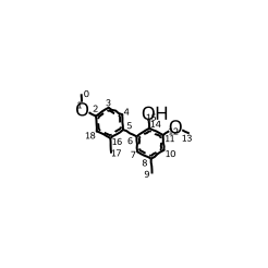 COc1ccc(-c2cc(C)cc(OC)c2O)c(C)c1